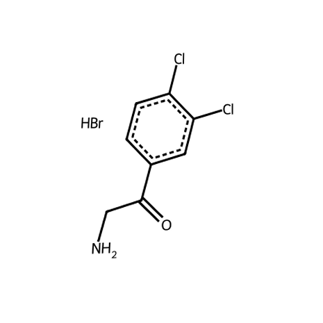 Br.NCC(=O)c1ccc(Cl)c(Cl)c1